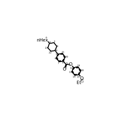 CCCCCCC1CCC(c2ccc(C(=O)Oc3ccc(OCC)cc3)cc2)CC1